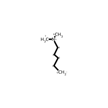 [CH2]CCCCN(C)C